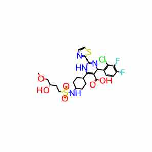 COC[C@@H](O)CCS(=O)(=O)NC1CCC(C2=C(C(=O)O)C(c3ccc(F)c(F)c3Cl)N=C(c3nccs3)N2)CC1